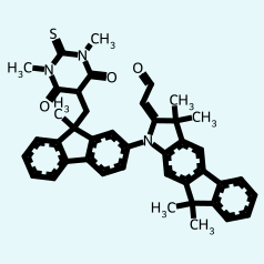 CN1C(=O)C(CC2(C)c3ccccc3-c3ccc(N4/C(=C/C=O)C(C)(C)c5cc6c(cc54)C(C)(C)c4ccccc4-6)cc32)C(=O)N(C)C1=S